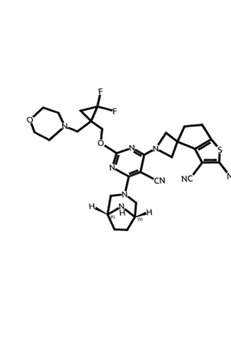 N#Cc1c(N2C[C@H]3CC[C@@H](C2)N3)nc(OCC2(CN3CCOCC3)CC2(F)F)nc1N1CC2(CCc3sc(N)c(C#N)c32)C1